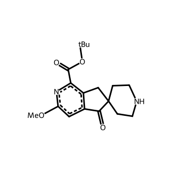 COc1cc2c(c(C(=O)OC(C)(C)C)n1)CC1(CCNCC1)C2=O